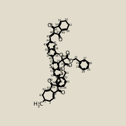 CC1CC=C2C(=O)C(=Cc3cc4sc5c(c4s3)C(C(=O)OCc3ccccc3)(C(=O)OCc3ccccc3)Oc3c-5sc4cc(C=C5C(=O)C6=CCCC=C6C5=O)sc34)C(=O)C2=CC1